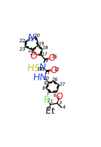 CCC(F)C(C)Oc1ccc(NC(=O)N(S)C(=O)c2cc3cnccc3o2)cc1